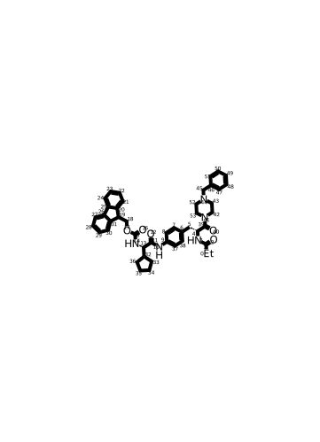 CCC(=O)N[C@H](Cc1ccc(NC(=O)[C@@H](NC(=O)OCC2c3ccccc3-c3ccccc32)C2CCCC2)cc1)C(=O)N1CCN(Cc2ccccc2)CC1